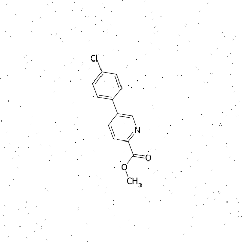 COC(=O)c1ccc(-c2ccc(Cl)cc2)cn1